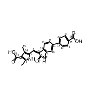 Cc1[nH]c(C=C2C(=O)Nc3cc(-c4ccc(C(=O)O)cc4)ccc32)c(C)c1C(=O)O